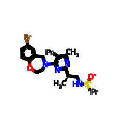 Cc1nc([C@@H](C)CN[S+]([O-])C(C)C)nc(N2CCOc3ccc(Br)cc3C2)c1C(C)C